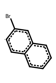 Brc1[c]cc2ccccc2c1